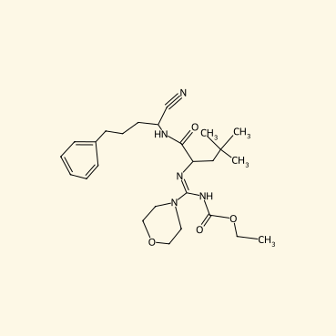 CCOC(=O)N/C(=N\C(CC(C)(C)C)C(=O)NC(C#N)CCCc1ccccc1)N1CCOCC1